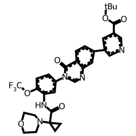 CC(C)(C)OC(=O)c1cncc(-c2ccc3c(=O)n(-c4ccc(OC(F)(F)F)c(NC(=O)C5(N6CCOCC6)CC5)c4)cnc3c2)c1